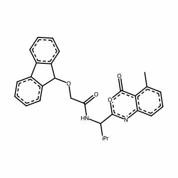 Cc1cccc2nc(C(NC(=O)COC3c4ccccc4-c4ccccc43)C(C)C)oc(=O)c12